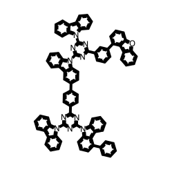 c1ccc(-c2cccc3c2c2ccccc2n3-c2nc(-c3ccc(-c4ccc5c(c4)c4ccccc4n5-c4nc(-c5cccc(-c6cccc7oc8ccccc8c67)c5)nc(-n5c6ccccc6c6ccccc65)n4)cc3)nc(-n3c4ccccc4c4ccccc43)n2)cc1